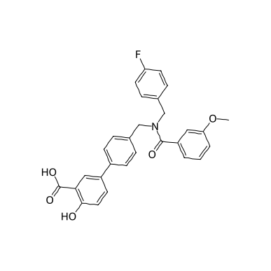 COc1cccc(C(=O)N(Cc2ccc(F)cc2)Cc2ccc(-c3ccc(O)c(C(=O)O)c3)cc2)c1